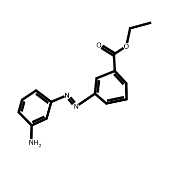 CCOC(=O)c1cccc(N=Nc2cccc(N)c2)c1